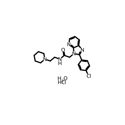 Cl.O.O=C(Cn1c(-c2ccc(Cl)cc2)nc2cccnc21)NCCN1CCCCC1